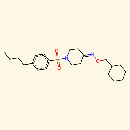 CCCCc1ccc(S(=O)(=O)N2CCC(=NOCC3CCCCC3)CC2)cc1